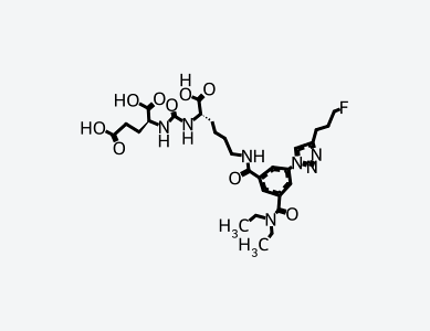 CCN(CC)C(=O)c1cc(C(=O)NCCCC[C@H](NC(=O)N[C@@H](CCC(=O)O)C(=O)O)C(=O)O)cc(-n2cc(CCCF)nn2)c1